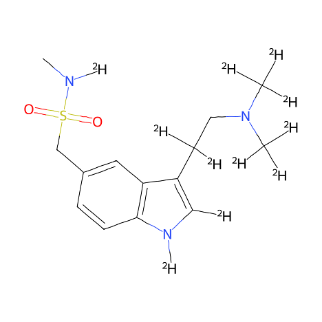 [2H]c1c(C([2H])([2H])CN(C([2H])([2H])[2H])C([2H])([2H])[2H])c2cc(CS(=O)(=O)N([2H])C)ccc2n1[2H]